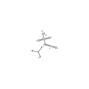 FC(F)F.O=C=NS(=O)(=O)C(F)(F)F